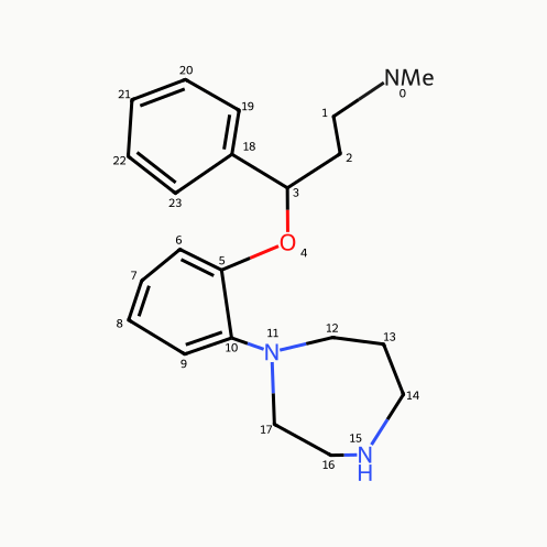 CNCCC(Oc1ccccc1N1CCCNCC1)c1ccccc1